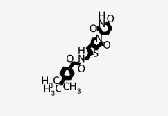 CC(C)(C)c1ccc(C(=O)C(=O)NCc2cc3c(s2)C(=O)N(C2CCC(=O)NC2=O)C3)cc1